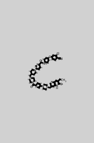 CCc1cc2ncc(CN3CCN(c4ccc(C(=O)N5CCN(CC6CCN(c7ccc(C(=O)NC8CCC(Oc9ccc(C#N)c(Cl)c9)CC8)nn7)CC6)CC5)nc4)CC3)cc2[nH]c1=O